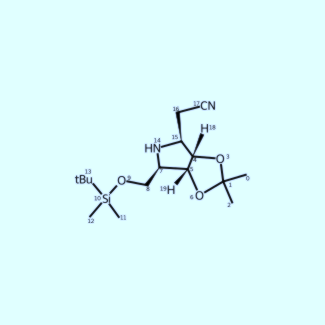 CC1(C)O[C@@H]2[C@H](O1)[C@@H](CO[Si](C)(C)C(C)(C)C)N[C@H]2CC#N